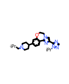 C[C](C)CN1CCC(c2ccc3c(c2)OCCn2cc(-c4ncnn4C(C)C)nc2-3)CC1